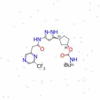 CC[C@H](C)NC(=O)O[C@@H]1CC[C@H](c2cc(NC(=O)Cc3cncc(C(F)(F)F)n3)n[nH]2)C1